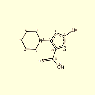 [Li][c]1cc(N2CCCCC2)c(C(O)=S)s1